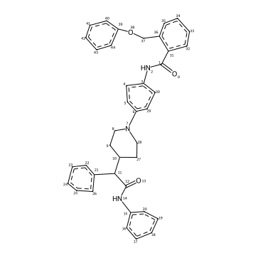 O=C(Nc1ccc(N2CCC(C(C(=O)Nc3ccccc3)c3ccccc3)CC2)cc1)c1ccccc1COc1ccccc1